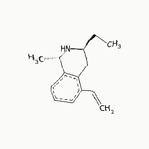 C=Cc1cccc2c1C[C@H](CC)N[C@H]2C